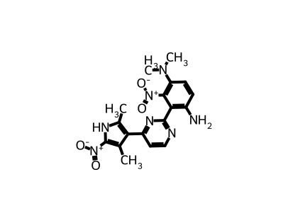 Cc1[nH]c([N+](=O)[O-])c(C)c1-c1ccnc(-c2c(N)ccc(N(C)C)c2[N+](=O)[O-])n1